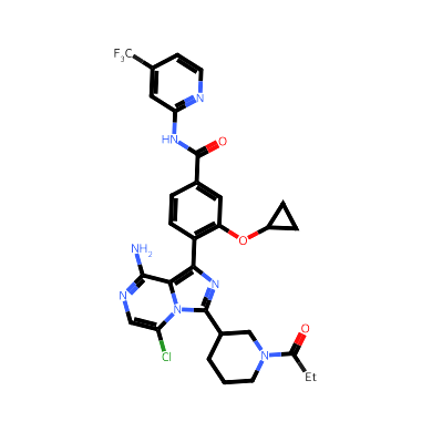 CCC(=O)N1CCCC(c2nc(-c3ccc(C(=O)Nc4cc(C(F)(F)F)ccn4)cc3OC3CC3)c3c(N)ncc(Cl)n23)C1